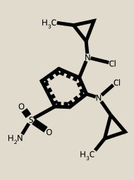 CC1CC1N(Cl)c1ccc(S(N)(=O)=O)cc1N(Cl)C1CC1C